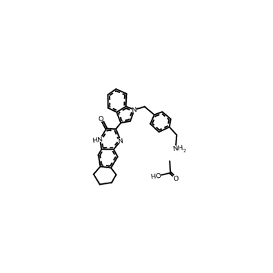 CC(=O)O.NCc1ccc(Cn2cc(-c3nc4cc5c(cc4[nH]c3=O)CCCC5)c3ccccc32)cc1